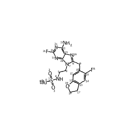 CC(C)(C)S(=O)(=O)NCCn1c(Cc2cc3c(cc2I)CCO3)nc2c(N)nc(F)nc21